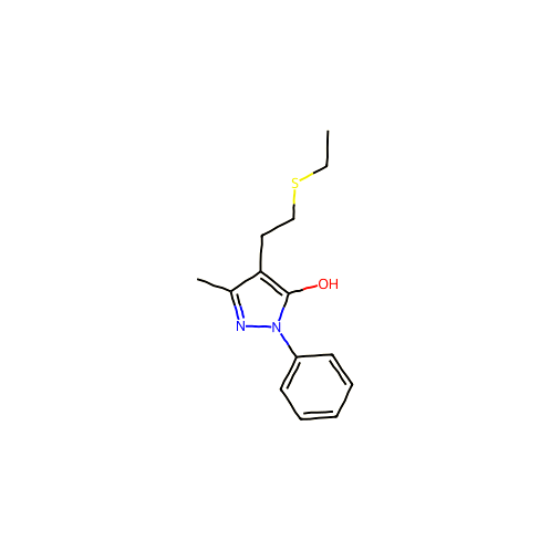 CCSCCc1c(C)nn(-c2ccccc2)c1O